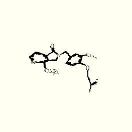 CCOC(=O)c1nccc2c1CN(Cc1ccc(OCC(F)F)c(C)c1)C2=O